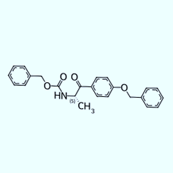 C[C@H](NC(=O)OCc1ccccc1)C(=O)c1ccc(OCc2ccccc2)cc1